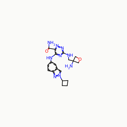 NC(=O)c1nnc(NCC2(N)COC2)nc1Nc1ccc2nn(C3CCC3)cc2c1